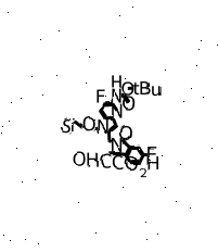 CC(C)(C)OC(=O)Nc1nc2cc(CN3C(=O)c4cc(F)ccc4[C@@]3(CC=O)C(=O)O)n(COCC[Si](C)(C)C)c2cc1F